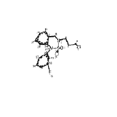 O=S1(=O)N(CCCCl)Cc2ccccc2N1c1cccc(F)c1